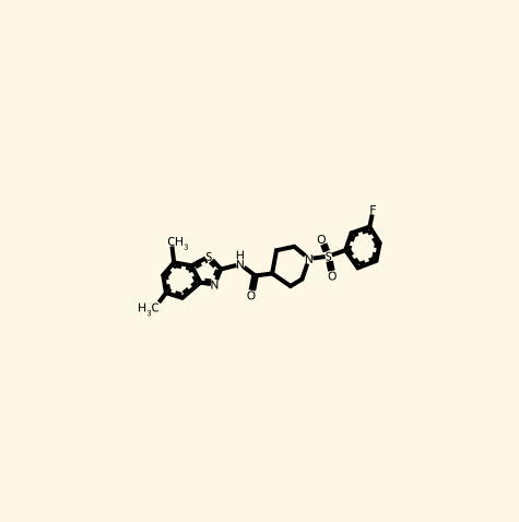 Cc1cc(C)c2sc(NC(=O)C3CCN(S(=O)(=O)c4cccc(F)c4)CC3)nc2c1